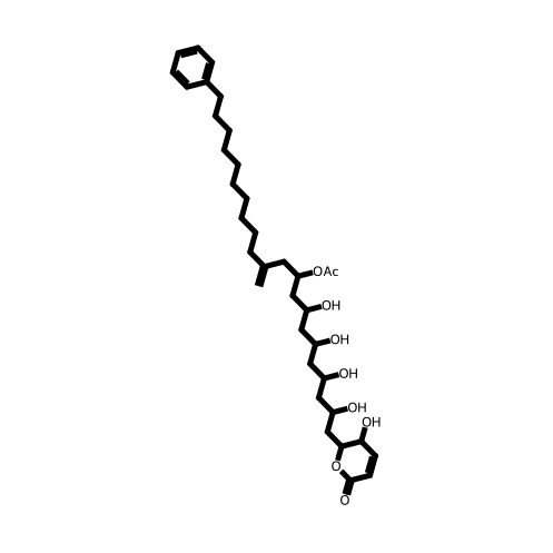 C=C(CCCCCCCCCCc1ccccc1)CC(CC(O)CC(O)CC(O)CC(O)CC1OC(=O)C=CC1O)OC(C)=O